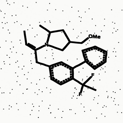 C/C=C(/Cc1ccc(C(C)(F)F)c(-c2ccccc2)c1)N1CC(COC)CC1C